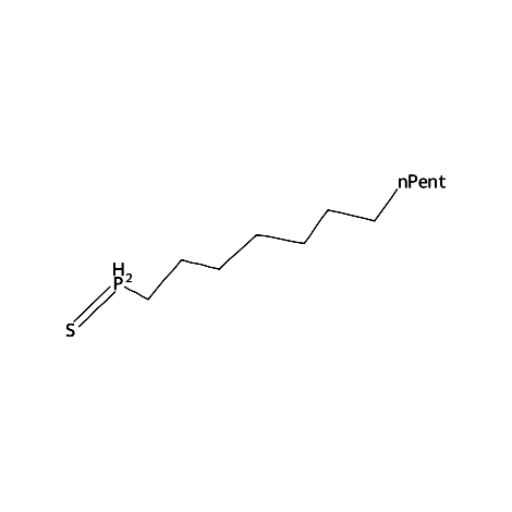 CCCCCCCCCCCC[PH2]=S